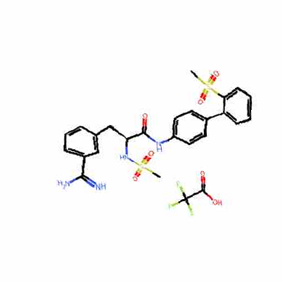 CS(=O)(=O)N[C@@H](Cc1cccc(C(=N)N)c1)C(=O)Nc1ccc(-c2ccccc2S(C)(=O)=O)cc1.O=C(O)C(F)(F)F